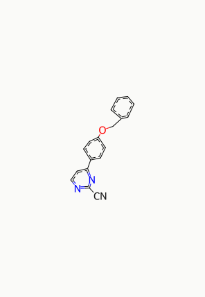 N#Cc1nccc(-c2ccc(OCc3ccccc3)cc2)n1